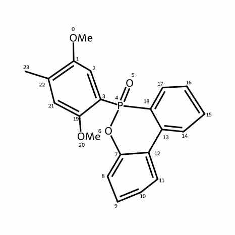 COc1cc(P2(=O)Oc3ccccc3-c3ccccc32)c(OC)cc1C